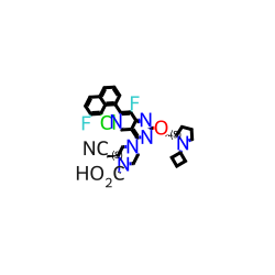 N#CC[C@H]1CN(c2nc(OC[C@@H]3CCCN3C3CCC3)nc3c(F)c(-c4cccc5ccc(F)c(Cl)c45)ncc23)CCN1C(=O)O